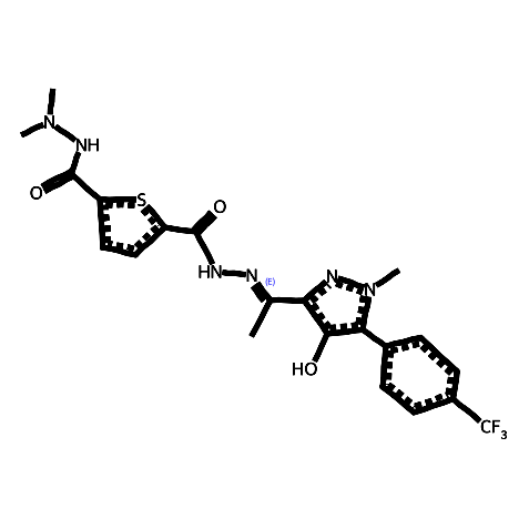 C/C(=N\NC(=O)c1ccc(C(=O)NN(C)C)s1)c1nn(C)c(-c2ccc(C(F)(F)F)cc2)c1O